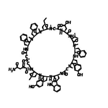 CCCC[C@H]1C(=O)N(C)CC(=O)N[C@@H](CC(=O)O)C(=O)NC(C(C)C)C(=O)N(C)[C@@H](Cc2ccccc2)C(=O)N[C@@H](Cc2ccc(O)cc2)C(=O)N(C)CC(=O)N[C@@H](Cc2c[nH]c3ccccc23)C(=O)N[C@@H](Cc2ccc(O)cc2)C(=O)N[C@@H](CC(C)C)C(=O)N[C@H](C(=O)NCC(N)=O)C[S+]([O-])CC(=O)N[C@@H](Cc2ccccc2)C(=O)N(C)[C@@H](Cc2ccccc2)C(=O)N1C